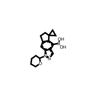 OB(O)c1c2c(cc3c1cnn3C1CCCCO1)CCC21CC1